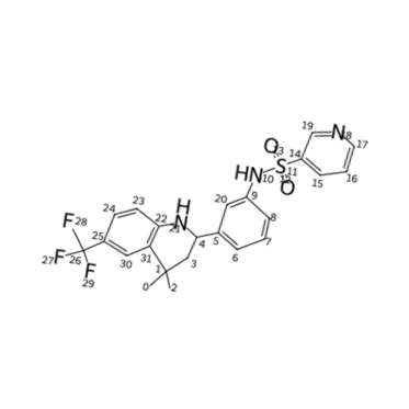 CC1(C)CC(c2cccc(NS(=O)(=O)c3cccnc3)c2)Nc2ccc(C(F)(F)F)cc21